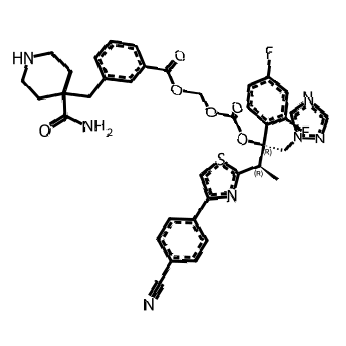 C[C@@H](c1nc(-c2ccc(C#N)cc2)cs1)[C@@](Cn1cncn1)(OC(=O)OCOC(=O)c1cccc(CC2(C(N)=O)CCNCC2)c1)c1ccc(F)cc1F